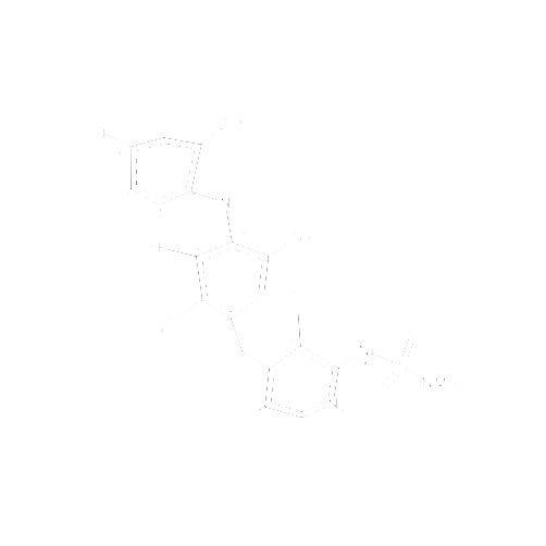 CNS(=O)(=O)Nc1nccc(Cc2cc(C(=O)O)c(Nc3ccc(I)cc3F)c(F)c2F)c1F